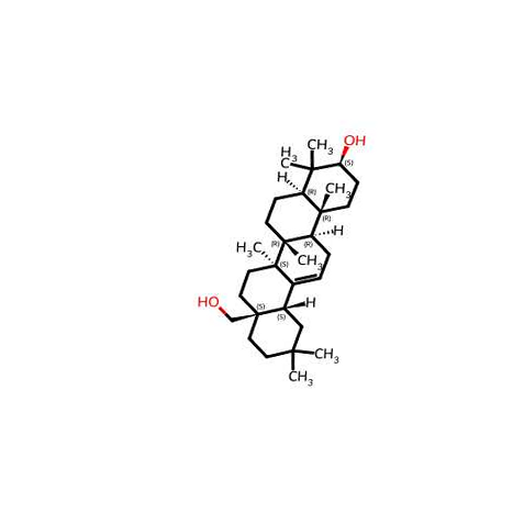 CC1(C)CC[C@]2(CO)CC[C@]3(C)C(=CC[C@@H]4[C@@]5(C)CC[C@H](O)C(C)(C)[C@@H]5CC[C@]43C)[C@@H]2C1